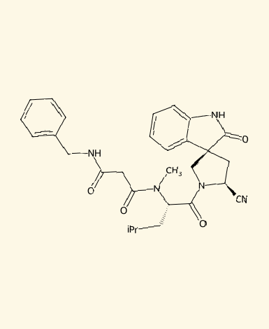 CC(C)C[C@@H](C(=O)N1C[C@]2(C[C@H]1C#N)C(=O)Nc1ccccc12)N(C)C(=O)CC(=O)NCc1ccccc1